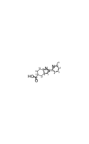 Cc1cccc(-n2cc3c(n2)CCC(C(=O)O)C3)n1